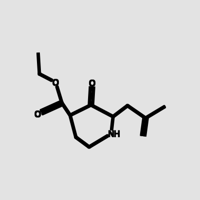 C=C(C)CC1NCCC(C(=O)OCC)C1=O